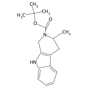 CC1Cc2c([nH]c3ccccc23)CN1C(=O)OC(C)(C)C